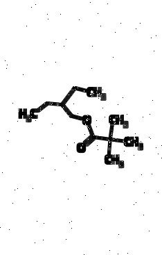 CCC(CC)COC(=O)C(C)(C)C